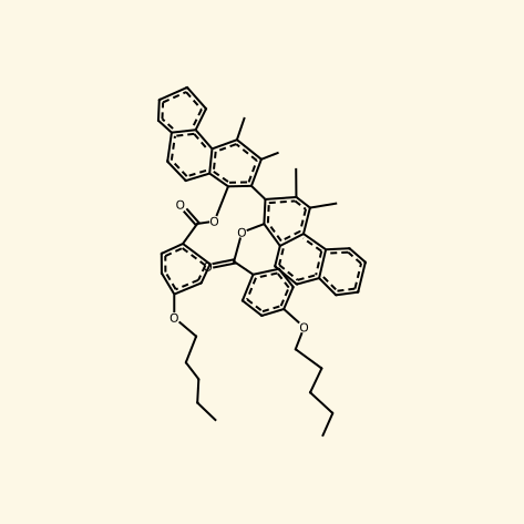 CCCCCOc1ccc(C(=O)Oc2c(-c3c(C)c(C)c4c(ccc5ccccc54)c3OC(=O)c3ccc(OCCCCC)cc3)c(C)c(C)c3c2ccc2ccccc23)cc1